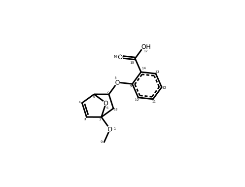 COC12C=CC(O1)C(Oc1ccccc1C(=O)O)C2